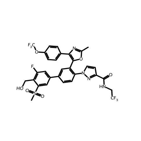 Cc1nc(-c2ccc(OC(F)(F)F)cc2)c(-c2cc(-c3cc(F)c(CO)c(S(C)(=O)=O)c3)ccc2-n2ccc(C(=O)NCC(F)(F)F)n2)o1